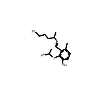 Cc1ccc(C(C)(C)C)c(OC(C)C(C)C)c1/C=N/C(C)CCCC(C)C